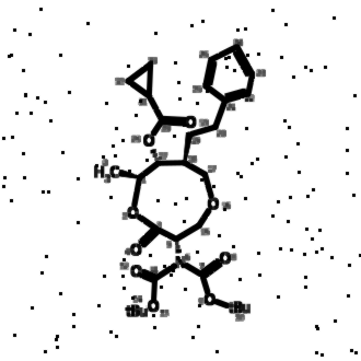 C[C@@H]1OC(=O)[C@@H](N(C(=O)OC(C)(C)C)C(=O)OC(C)(C)C)COC[C@H](CCc2ccccc2)[C@H]1OC(=O)C1CC1